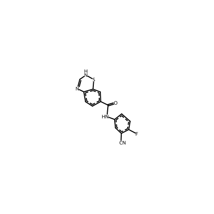 N#Cc1cc(NC(=O)c2ccc3c(c2)SNC=N3)ccc1F